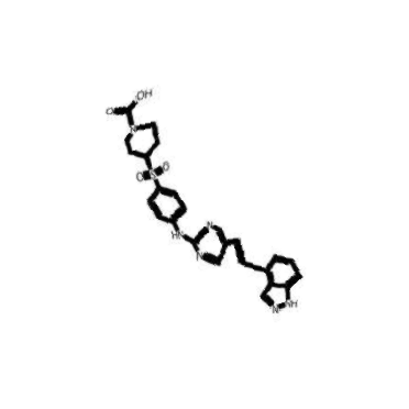 O=C(O)N1CCC(S(=O)(=O)c2ccc(Nc3ncc(/C=C/c4cccc5[nH]ncc45)cn3)cc2)CC1